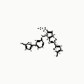 Cc1ccc(-c2cccc(Cn3c(C(=O)O)cc4sc(-c5ccc(C)s5)cc43)c2)s1